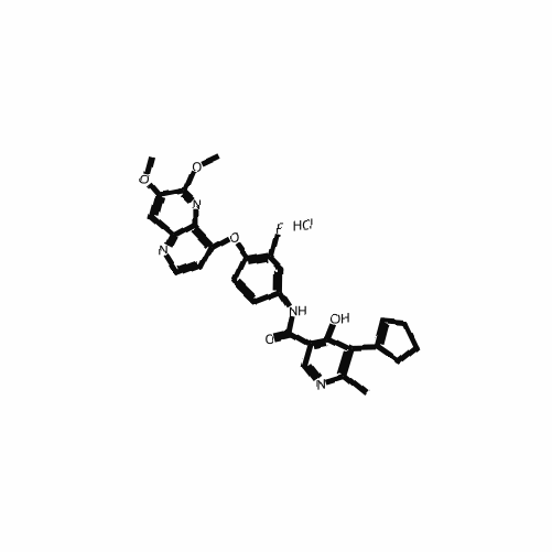 COc1cc2nccc(Oc3ccc(NC(=O)c4cnc(C)c(C5=CCCC5)c4O)cc3F)c2nc1OC.Cl